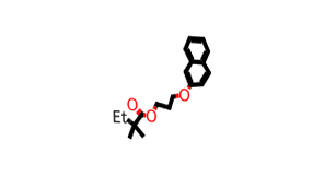 CCC(C)(C)C(=O)OCCCOc1ccc2ccccc2c1